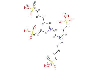 O=S(=O)(O)CCCCCN(CCCS(=O)(=O)O)CCN(CCCCCS(=O)(=O)O)CCCS(=O)(=O)O